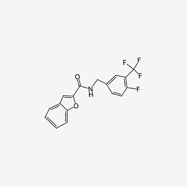 O=C(NCc1ccc(F)c(C(F)(F)F)c1)c1cc2ccccc2o1